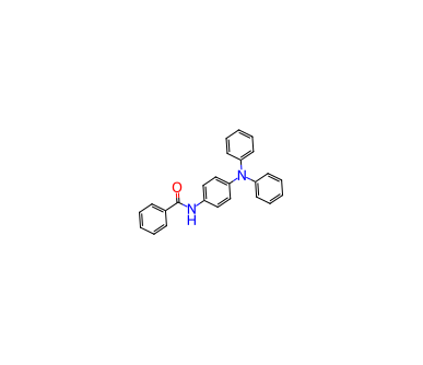 O=C(Nc1ccc(N(c2ccccc2)c2ccccc2)cc1)c1ccccc1